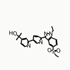 CCn1nc(-c2ccc(-c3cc(C(C)(C)O)ccn3)cn2)c2cc(S(=O)(=O)CC)ccc21